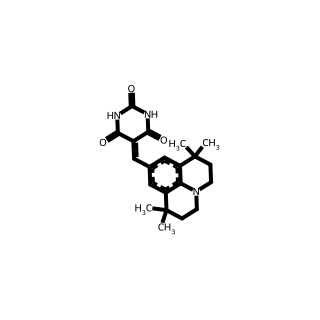 CC1(C)CCN2CCC(C)(C)c3cc(C=C4C(=O)NC(=O)NC4=O)cc1c32